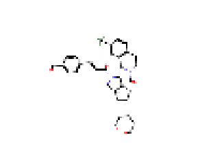 CO[C@@H]1COCC[C@@H]1N[C@@H]1C[C@H]2CN(C(=O)C=Cc3ccc(C(=O)O)cc3)C[C@@]2(C(=O)N2CCc3ccc(C(F)(F)F)cc3C2)C1